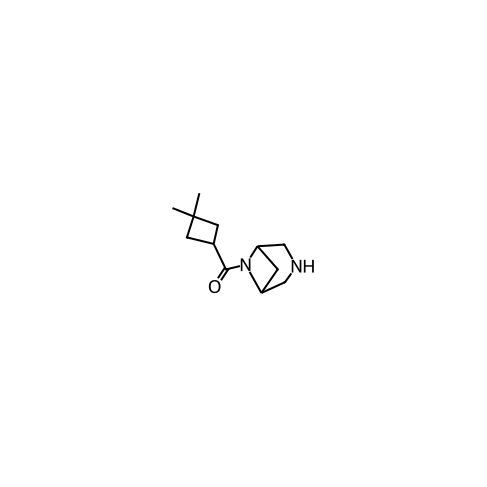 CC1(C)CC(C(=O)N2C3CNCC2C3)C1